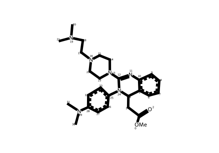 COC(=O)CC1c2ccccc2N=C(N2CCN(CCN(C)C)CC2)N1c1ccc(N(C)C)cc1